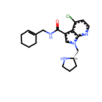 O=C(NCC1=CCCCC1)c1cn(C[C@@H]2CCCN2)c2nccc(Cl)c12